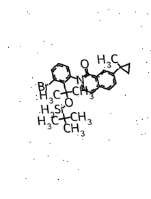 CC(C)(C)[SiH2]OC(C)(C)c1c(Br)cccc1-n1ccc2ccc(C3(C)CC3)cc2c1=O